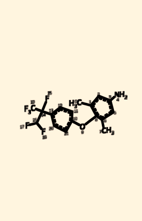 Cc1cc(N)cc(C)c1Oc1ccc(C(F)(C(F)F)C(F)(F)F)cc1